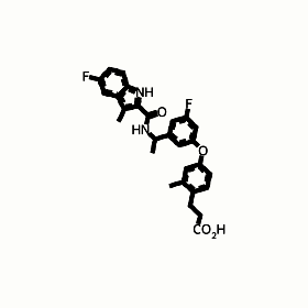 Cc1cc(Oc2cc(F)cc(C(C)NC(=O)c3[nH]c4ccc(F)cc4c3C)c2)ccc1CCC(=O)O